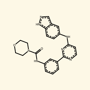 O=C(Nc1cccc(-c2nccc(Nc3ccc4[nH]ncc4c3)n2)c1)N1CCOCC1